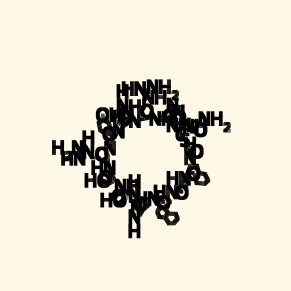 CC[C@@H]1NC(=O)[C@H](Cc2ccccc2)NC(=O)CSC[C@@H](C(=O)NCC(N)=O)NC(=O)[C@H](Cc2cncn2C)NC(=O)[C@H](CCCNC(=N)N)NC(=O)[C@H](Cc2c[nH]cn2)NC(=O)[C@H](Cc2ccc(O)cc2)N(C)C(=O)[C@H](CCCNC(=N)N)NC(=O)[C@H](CO)NC(=O)[C@@H](CO)NC(=O)[C@H](Cc2c[nH]cn2)NC(=O)[C@H](Cc2cccc3ccccc23)NC1=O